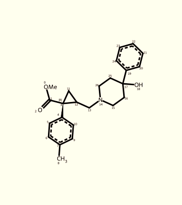 COC(=O)[C@]1(c2ccc(C)cc2)CC1CN1CCC(O)(c2ccccc2)CC1